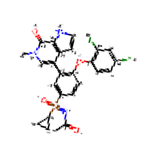 CC(=O)N=S(=O)(c1ccc(Oc2ccc(F)cc2F)c(-c2cn(C)c(=O)c3[nH]ccc23)c1)C1CC1